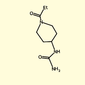 CCC(=O)N1CCC(NC(N)=O)CC1